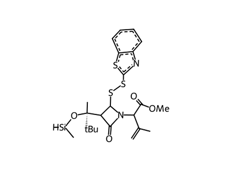 C=C(C)C(C(=O)OC)N1C(=O)C([C@](C)(O[SiH](C)C)C(C)(C)C)C1SSc1nc2ccccc2s1